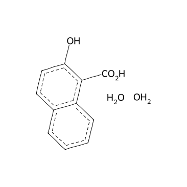 O.O.O=C(O)c1c(O)ccc2ccccc12